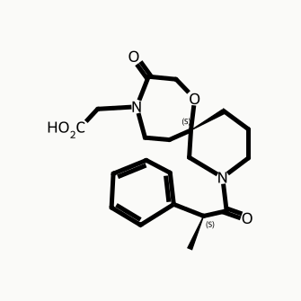 C[C@H](C(=O)N1CCC[C@]2(CCN(CC(=O)O)C(=O)CO2)C1)c1ccccc1